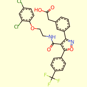 O=C(O)Cc1cccc(-c2noc(-c3ccc(C(F)(F)F)cc3)c2C(=O)NCCOc2ccc(Cl)cc2Cl)c1